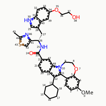 COc1ccc2c(c1)OCCn1c-2c(C2CCCCC2)c2ccc(C(=O)N[C@@H](Cc3c[nH]c4ccc(OCCO)cc34)c3csc(C)n3)cc21